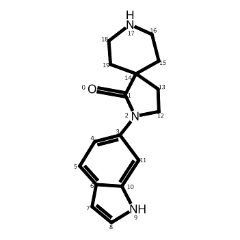 O=C1N(c2ccc3cc[nH]c3c2)CCC12CCNCC2